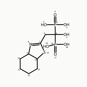 O=P(O)(O)C(O)(CC1=NC2CCCCC2S1)P(=O)(O)O